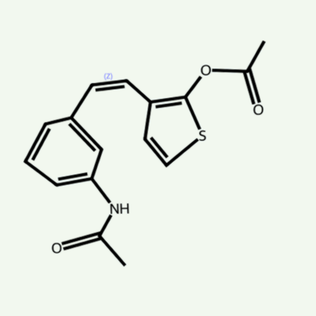 CC(=O)Nc1cccc(/C=C\c2ccsc2OC(C)=O)c1